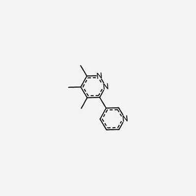 Cc1nnc(-c2cccnc2)c(C)c1C